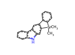 C[Si]1(C)c2ccccc2-c2cc3c(cc21)[nH]c1ccccc13